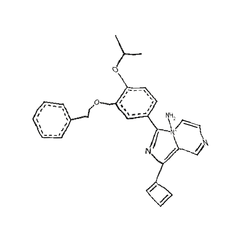 CC(C)Oc1ccc(C2=NC(C3=CC=C3)=C3C=NC=C[N+]23N)cc1OCc1ccccc1